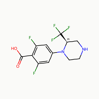 O=C(O)c1c(F)cc(N2CCNC[C@@H]2C(F)(F)F)cc1F